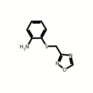 Nc1ccccc1SCc1ncon1